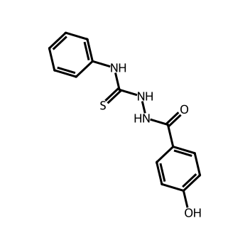 O=C(NNC(=S)Nc1ccccc1)c1ccc(O)cc1